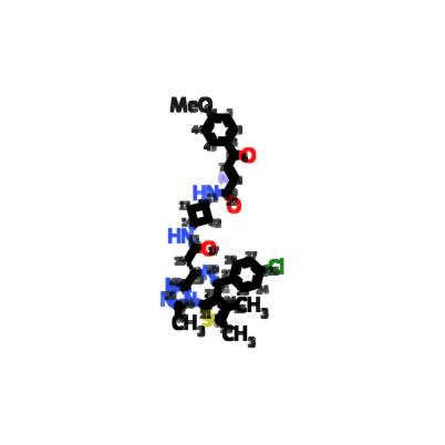 COc1ccc(C(=O)/C=C/C(=O)NC2CC(NC(=O)C[C@@H]3N=C(c4ccc(Cl)cc4)c4c(sc(C)c4C)-n4c(C)nnc43)C2)cc1